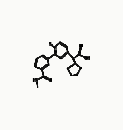 CNC(=O)c1cccc(-c2cc(N(C(=O)O)C3CCCC3)ccc2F)c1